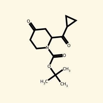 CC(C)(C)OC(=O)N1CCC(=O)CC1C(=O)C1CC1